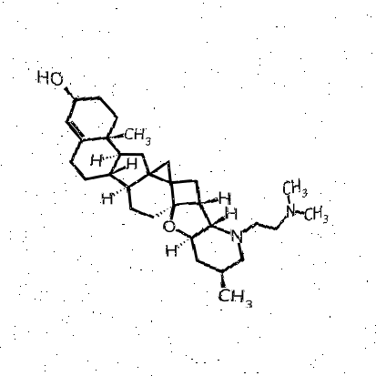 C[C@H]1C[C@H]2O[C@@]34CC[C@H]5[C@@H]6CCC7=C[C@@H](O)CC[C@]7(C)[C@H]6CC56CC63C[C@@H]4[C@@H]2N(CCN(C)C)C1